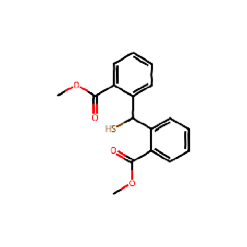 COC(=O)c1ccccc1C(S)c1ccccc1C(=O)OC